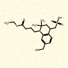 CCOC(=O)CCCN1c2cc(CO)ccc2C(CS(=O)(=O)O)CC1(C)C